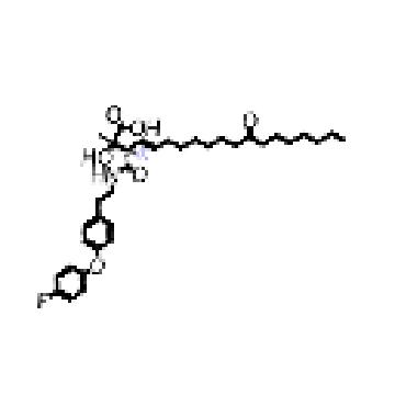 CCCCCCCC(=O)CCCCCC/C=C/[C@H](C(=O)NCCc1ccc(Oc2ccc(F)cc2)cc1)[C@](C)(O)C(=O)O